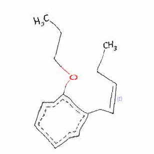 CC/C=C\c1ccccc1OCCC